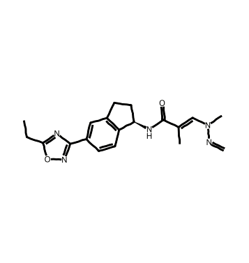 C=NN(C)/C=C(\C)C(=O)N[C@@H]1CCc2cc(-c3noc(CC)n3)ccc21